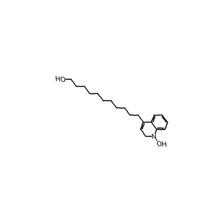 OCCCCCCCCCCCC1=CCN(O)c2ccccc21